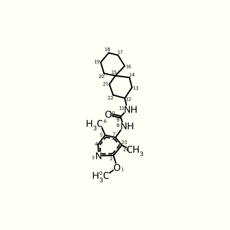 COc1ncc(C)c(NC(=O)NC2CCC3(CCCCC3)CC2)c1C